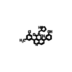 Cc1cc(Cl)cc(-c2cnc3ccc(-c4cccc(O)c4)nc3c2C(=O)N(C)C[C@@H]2CCCN2)c1